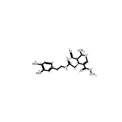 COC(=O)C1=COC(C)C(C=O)[C@@H]1CC(=O)OCCc1ccc(O)c(O)c1